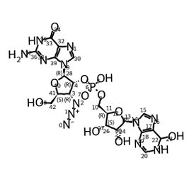 [N-]=[N+]=N[C@H]1[C@@H](OP(=O)(O)OC[C@H]2O[C@@H](n3cnc4c3N=CNC4O)[C@H](O)[C@@H]2O)[C@H](n2cnc3c(=O)[nH]c(N)nc32)O[C@@H]1CO